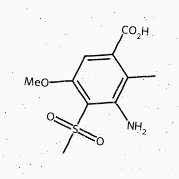 COc1cc(C(=O)O)c(C)c(N)c1S(C)(=O)=O